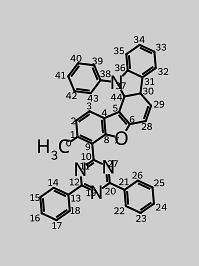 Cc1ccc2c3c(oc2c1-c1nc(-c2ccccc2)nc(-c2ccccc2)n1)C=CC1c2ccccc2N(c2ccccc2)C31